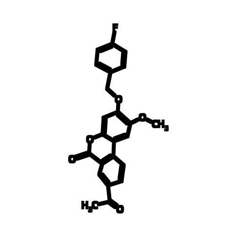 COc1cc2c(cc1OCc1ccc(F)cc1)oc(=O)c1cc(C(C)=O)ccc12